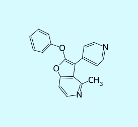 Cc1nccc2oc(Oc3ccccc3)c(-c3ccncc3)c12